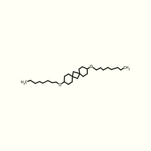 CCCCCCCCOC1CCC2(CC1)CC1(CCC(OCCCCCCCC)CC1)C2